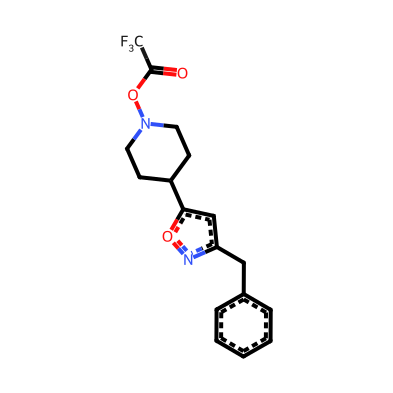 O=C(ON1CCC(c2cc(Cc3ccccc3)no2)CC1)C(F)(F)F